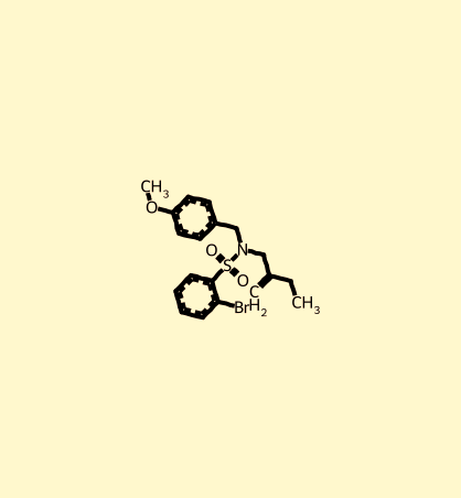 C=C(CC)CN(Cc1ccc(OC)cc1)S(=O)(=O)c1ccccc1Br